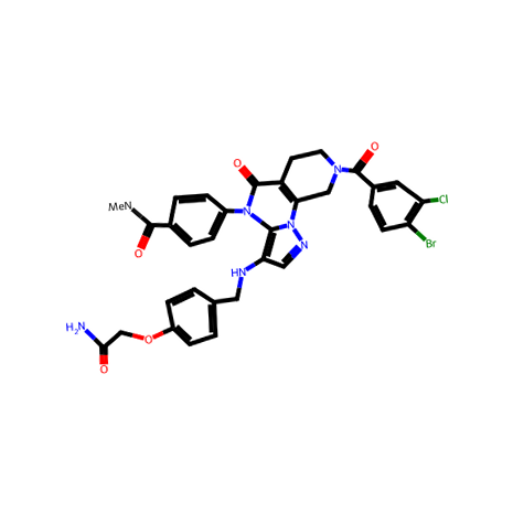 CNC(=O)c1ccc(-n2c(=O)c3c(n4ncc(NCc5ccc(OCC(N)=O)cc5)c24)CN(C(=O)c2ccc(Br)c(Cl)c2)CC3)cc1